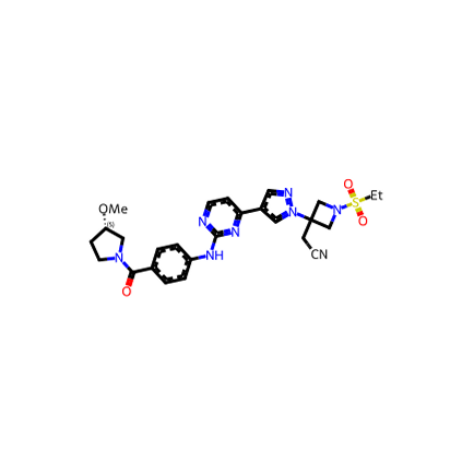 CCS(=O)(=O)N1CC(CC#N)(n2cc(-c3ccnc(Nc4ccc(C(=O)N5CC[C@H](OC)C5)cc4)n3)cn2)C1